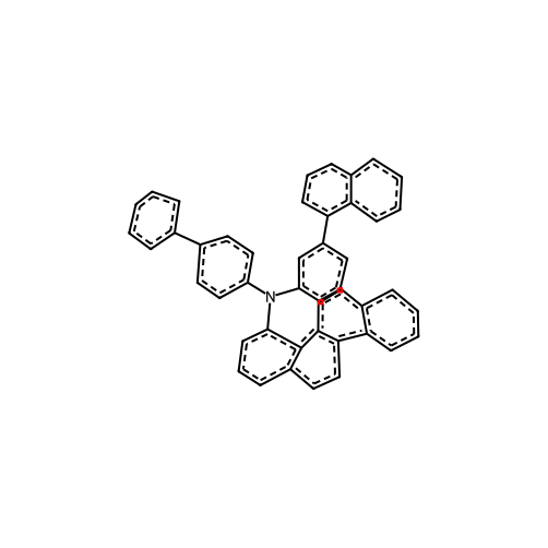 c1ccc(-c2ccc(N(c3cccc(-c4cccc5ccccc45)c3)c3cccc4ccc5c6ccccc6ccc5c34)cc2)cc1